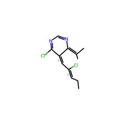 CC/C=C(Cl)/C=c1/c(Cl)ncnc1=C(C)C